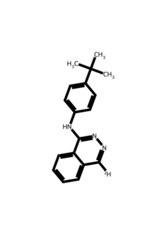 [2H]c1nnc(Nc2ccc(C(C)(C)C)cc2)c2ccccc12